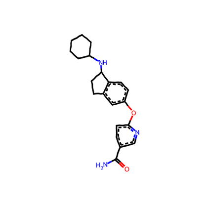 NC(=O)c1ccc(Oc2ccc3c(c2)CCC3NC2CCCCC2)nc1